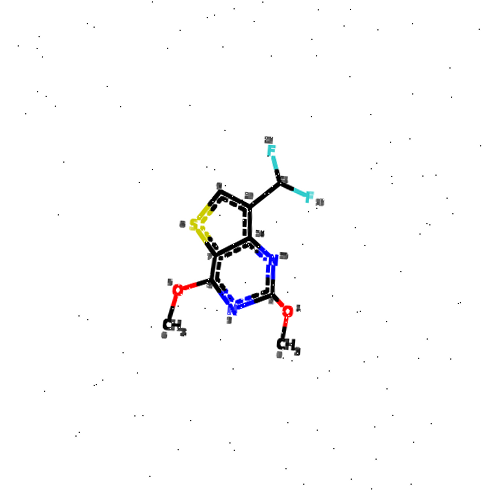 COc1nc(OC)c2scc(C(F)F)c2n1